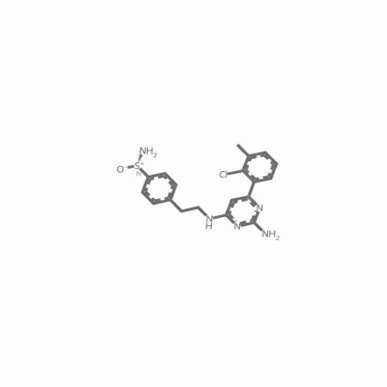 Cc1cccc(-c2cc(NCCc3ccc([S@+](N)[O-])cc3)nc(N)n2)c1Cl